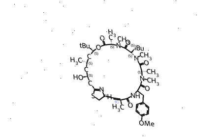 CC[C@H](C)[C@H]1C(=O)N(C)[C@@H](C)C(=O)O[C@H](C(C)(C)C)C[C@@H](C)C[C@H](O)CC2=N[C@@H](/C=C(\C)C(=O)NC(Cc3ccc(OC)cc3)C(=O)N(C)[C@@H](C)C(=O)N1C)CS2